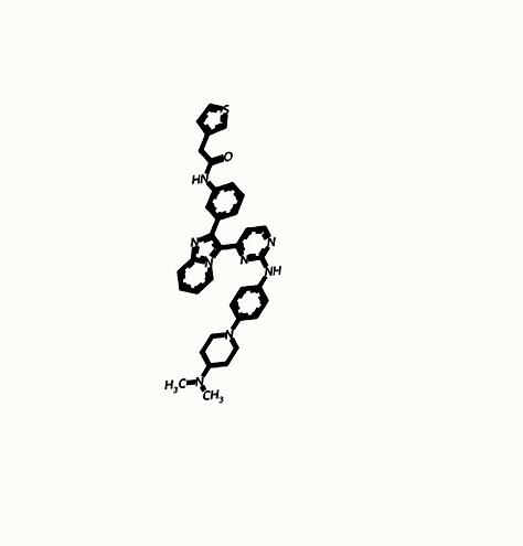 CN(C)C1CCN(c2ccc(Nc3nccc(-c4c(-c5cccc(NC(=O)Cc6ccsc6)c5)nc5ccccn45)n3)cc2)CC1